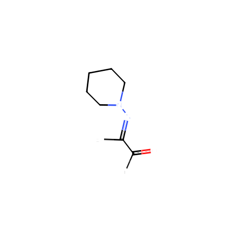 CCC(=O)/C(CC)=N/N1CCCCC1